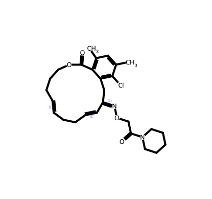 Cc1cc(C)c2c(c1Cl)CC(=N/OCC(=O)N1CCCCC1)/C=C/CC/C=C/CCCOC2=O